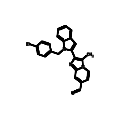 Cc1c(-c2cc3ccccc3n2Cc2ccc(Cl)cc2)nc2cc(C=O)ccn12